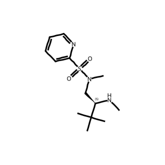 CN[C@H](CN(C)S(=O)(=O)c1ccccn1)C(C)(C)C